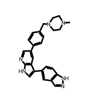 CN1CCN(Cc2ccc(-c3cnc4[nH]cc(-c5ccc6[nH]ncc6c5)c4c3)cc2)CC1